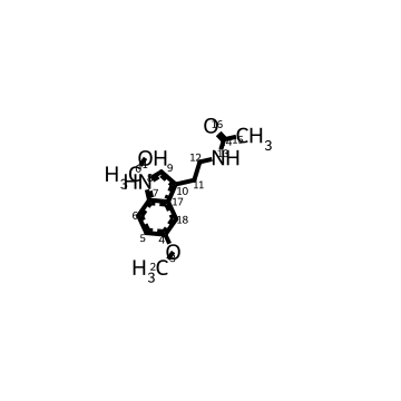 CO.COc1ccc2[nH]cc(CCNC(C)=O)c2c1